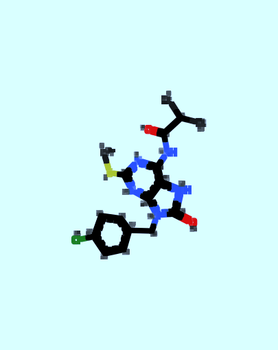 CCCSc1nc(NC(=O)C(CC)CC)c2[nH]c(=O)n(Cc3ccc(Cl)cc3)c2n1